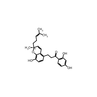 CC(C)=CCC[C@]1(C)C=Cc2c(CCC(=O)c3ccc(O)cc3O)ccc(O)c2O1